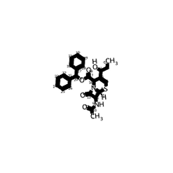 CCC(O)C1=CS[C@H]2C(NC(C)=O)C(=O)N2C1C(=O)OC(c1ccccc1)c1ccccc1